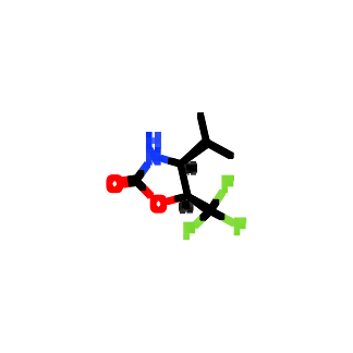 CC(C)[C@@H]1NC(=O)O[C@@H]1C(F)(F)F